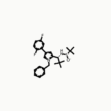 CC(C)(C)[C@@H](N[S+]([O-])C(C)(C)C)c1cc(-c2cc(F)ccc2F)cn1Cc1ccccc1